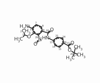 CC(C)Oc1c(N)ccc(C(=O)Nc2ccc(C(=O)OC(C)(C)C)cc2)c1N=O